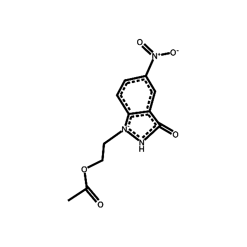 CC(=O)OCCn1[nH]c(=O)c2cc([N+](=O)[O-])ccc21